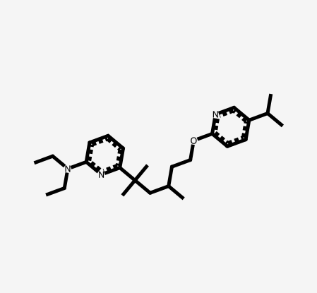 CCN(CC)c1cccc(C(C)(C)CC(C)CCOc2ccc(C(C)C)cn2)n1